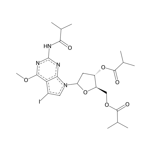 COc1nc(NC(=O)C(C)C)nc2c1c(I)cn2C1C[C@H](OC(=O)C(C)C)[C@@H](COC(=O)C(C)C)O1